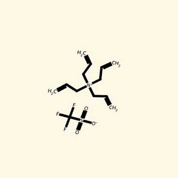 C=CC[N+](CC=C)(CC=C)CC=C.O=S(=O)([O-])C(F)(F)F